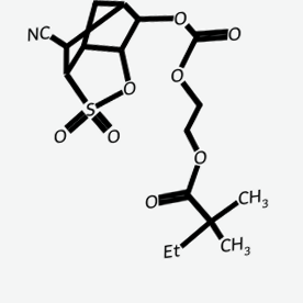 CCC(C)(C)C(=O)OCCOC(=O)OC1C2CC3C1OS(=O)(=O)C3C2C#N